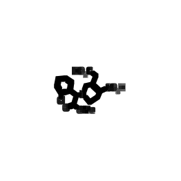 COC(=O)C(c1ccccc1Cl)N1CCC(S(=O)(=O)O)=C(CC(=O)O)C1